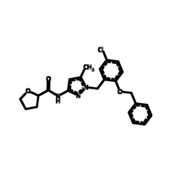 Cc1cc(NC(=O)C2CCCO2)nn1Cc1cc(Cl)ccc1OCc1ccccc1